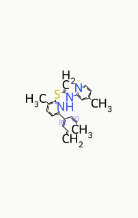 C=C/C=C(\C=C/C)c1ccc(C)c(SC(=C)Nc2cc(C)ccn2)n1